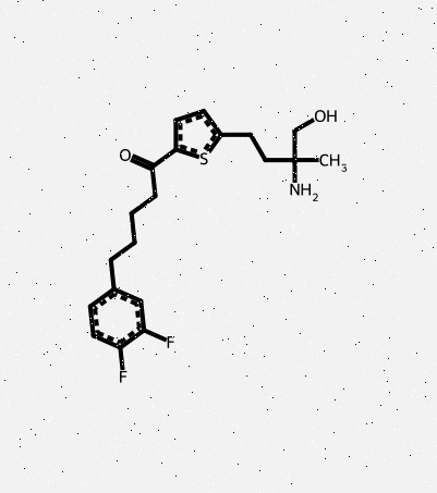 CC(N)(CO)CCc1ccc(C(=O)CCCCc2ccc(F)c(F)c2)s1